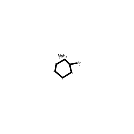 BrC1CCCCC1.[MgH2]